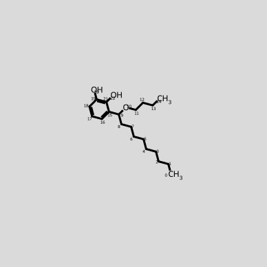 CCCCCCCCCC(OCCCC)c1cccc(O)c1O